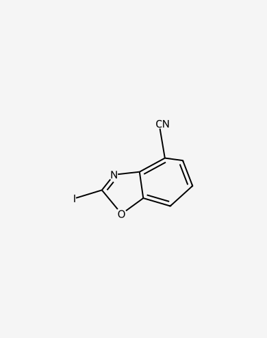 N#Cc1cccc2oc(I)nc12